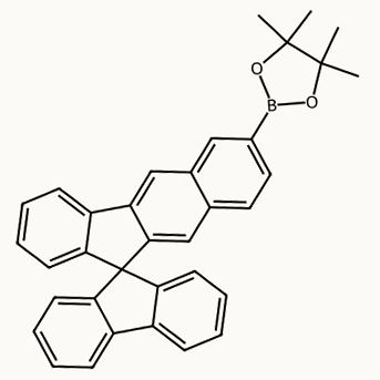 CC1(C)OB(c2ccc3cc4c(cc3c2)-c2ccccc2C42c3ccccc3-c3ccccc32)OC1(C)C